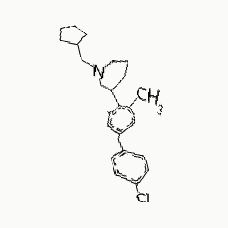 Cc1cc(-c2ccc(Cl)cc2)ccc1C1CCCN(CC2CCCC2)C1